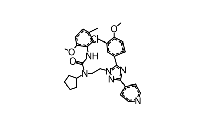 COc1ccc(-c2nc(-c3ccncc3)nn2CCN(C(=O)Nc2cc(C)ccc2OC)C2CCCC2)cc1Cl